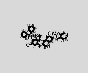 COc1cc2c(Nc3cc(O[Si](c4ccccc4)(c4ccccc4)C(C)(C)C)c(Cl)cc3F)ccnc2cc1OCc1ccncc1